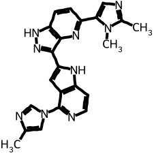 Cc1cn(-c2nccc3[nH]c(-c4n[nH]c5ccc(-c6cnc(C)n6C)nc45)cc23)cn1